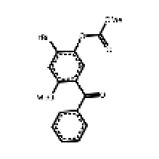 COC(=O)Oc1cc(C(=O)c2ccccc2)c(OC)cc1C(C)(C)C